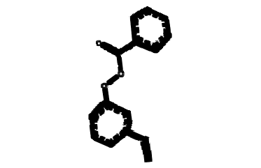 C=Cc1cccc(OOC(=O)c2ccccc2)c1